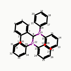 CCc1ccccc1C(P(c1ccccc1)c1ccccc1)P(c1ccccc1)c1ccccc1